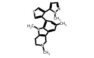 Cc1cc(-c2cscc2-c2ccnn2C)c2c(c1)c1c(n2C)CCN(C)C1